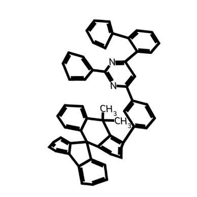 CC1(C)c2ccccc2C2(c3ccccc3-c3ccccc32)c2cccc(-c3cccc(-c4cc(-c5ccccc5-c5ccccc5)nc(-c5ccccc5)n4)c3)c21